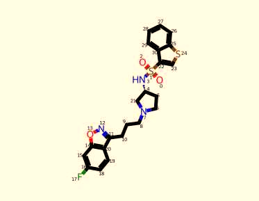 O=S(=O)(N[C@@H]1CCN(CCCc2noc3cc(F)ccc23)C1)c1csc2ccccc12